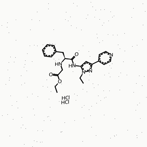 CCOC(=O)CN[C@@H](Cc1ccccc1)C(=O)Nc1cc(-c2ccncc2)nn1CC.Cl.Cl